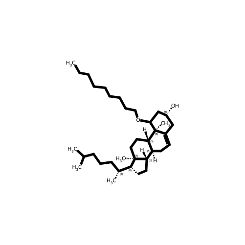 CCCCCCCCCOC1C[C@H](O)CC2=CC[C@H]3[C@@H]4CC[C@H]([C@H](C)CCCC(C)C)[C@@]4(C)CC[C@@H]3[C@]21C